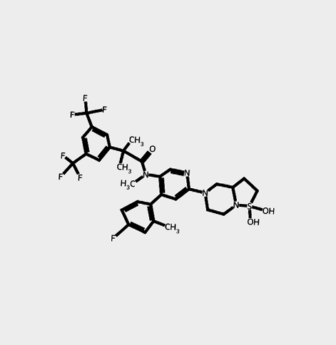 Cc1cc(F)ccc1-c1cc(N2CCN3C(CCS3(O)O)C2)ncc1N(C)C(=O)C(C)(C)c1cc(C(F)(F)F)cc(C(F)(F)F)c1